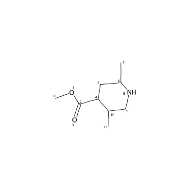 COC(=O)C1CC(C)NCC1C